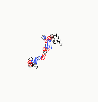 CCOc1ccccc1-n1c(CN2CCN(C(=O)COc3ccc(S(=O)(=O)NCCCCCCN4C5CCCC4CC(OC(=O)Nc4cc(C)ccc4OC)C5)cc3)CC2)nc2ccccc2c1=O